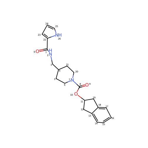 O=C(NCC1CCN(C(=O)OC2Cc3ccccc3C2)CC1)c1ccc[nH]1